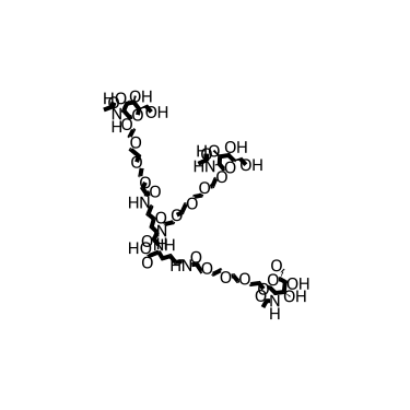 CC(=O)N[C@H]1[C@H](OCCOCCOCCOCC(=O)NCCCCC(NC(=O)C(CCCCNC(=O)COCCOCCOCCO[C@@H]2O[C@H](CO)[C@H](O)[C@H](O)[C@H]2NC(C)=O)NC(=O)COCCOCCOCCO[C@@H]2O[C@H](CO)[C@H](O)[C@H](O)[C@H]2NC(C)=O)C(=O)O)O[C@H](C=O)[C@H](O)[C@@H]1O